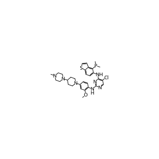 COc1cc(N2CCC(N3CCN(C)CC3)CC2)ccc1Nc1ncc(Cl)c(Nc2ccc3sccc3c2P(C)C)n1